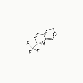 FC(F)(F)c1ccc2c(n1)=COCC=2